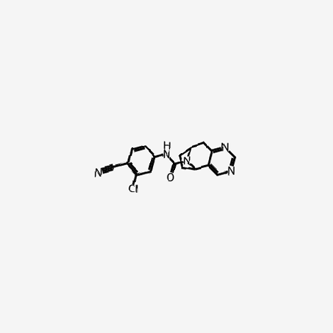 N#Cc1ccc(NC(=O)N2C3CCC2c2cncnc2C3)cc1Cl